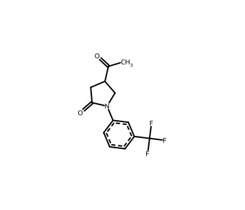 CC(=O)C1CC(=O)N(c2cccc(C(F)(F)F)c2)C1